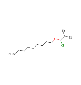 CCCCCCCCCCCCCCCCCCOC(Cl)C(CC)CC